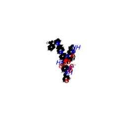 CC(C)c1ccccc1[C@@H]1CCCN1C1CC2(CCN(c3ccc(C(=O)NS(=O)(=O)c4ccc(NCC5CCOCC5)c([N+](=O)[O-])c4)c(N4c5cc6cc[nH]c6nc5O[C@H]5COC[C@@H]54)c3)CC2)C1